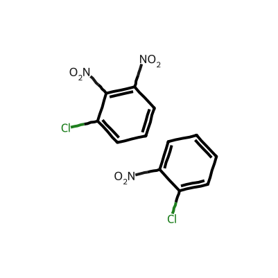 O=[N+]([O-])c1cccc(Cl)c1[N+](=O)[O-].O=[N+]([O-])c1ccccc1Cl